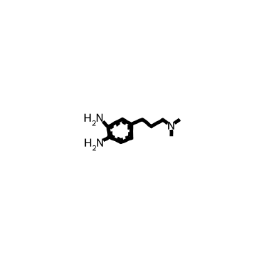 CN(C)CCCc1ccc(N)c(N)c1